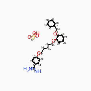 CS(=O)(=O)O.N=C(N)c1ccc(OCCCCCOc2ccccc2OCc2ccccc2)cc1